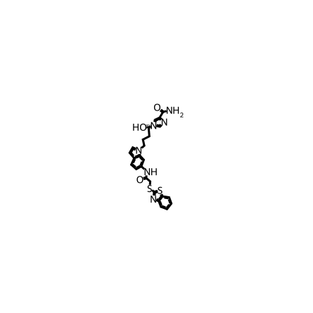 NC(=O)c1cn([C@H](O)CCCn2ccc3ccc(NC(=O)CSc4nc5ccccc5s4)cc32)cn1